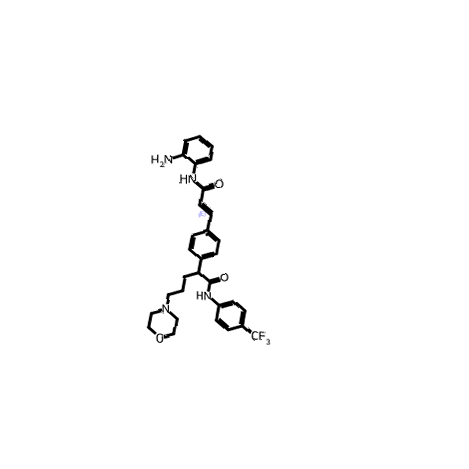 Nc1ccccc1NC(=O)/C=C/c1ccc(C(CCCN2CCOCC2)C(=O)Nc2ccc(C(F)(F)F)cc2)cc1